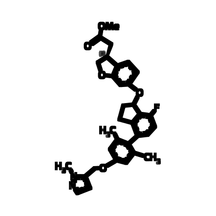 COC(=O)C[C@@H]1COc2cc(OC3CCc4c(-c5c(C)cc(OCc6ccnn6C)cc5C)ccc(F)c43)ccc21